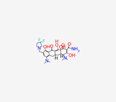 CN(C)c1cc(CN2CCC(F)(F)C2)c(O)c2c1C[C@H]1C[C@H]3[C@H](N(C)C)C(O)=C(C(N)=O)C(=O)[C@@]3(O)C(O)=C1C2=O